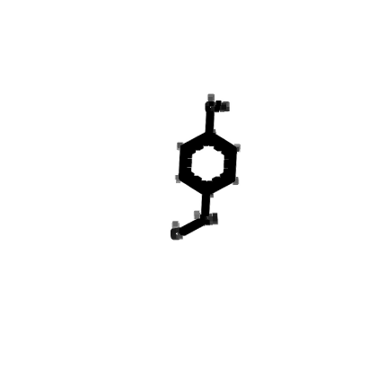 CC(=O)Oc1ccc(NCl)cc1